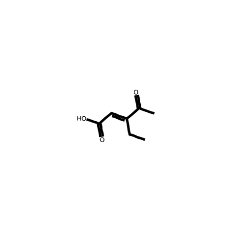 CC/C(=C\C(=O)O)C(C)=O